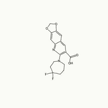 O=C(O)c1cc2cc3c(cc2nc1N1CCCC(F)(F)CC1)OCO3